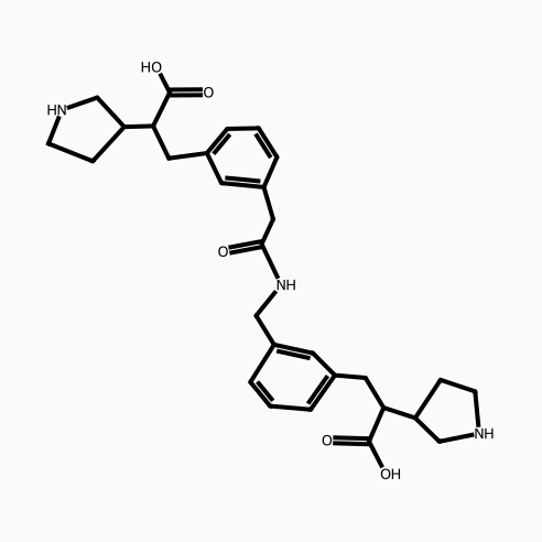 O=C(Cc1cccc(CC(C(=O)O)C2CCNC2)c1)NCc1cccc(CC(C(=O)O)C2CCNC2)c1